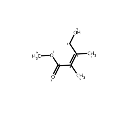 COC(=O)C(C)=C(C)CO